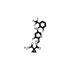 NC(=O)C1(C(=O)NCc2ncc(Nc3c(F)cccc3C(F)(F)F)cc2F)CC1